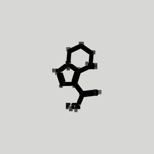 O=C(NC(F)(F)F)c1cnn2c1NCCC2